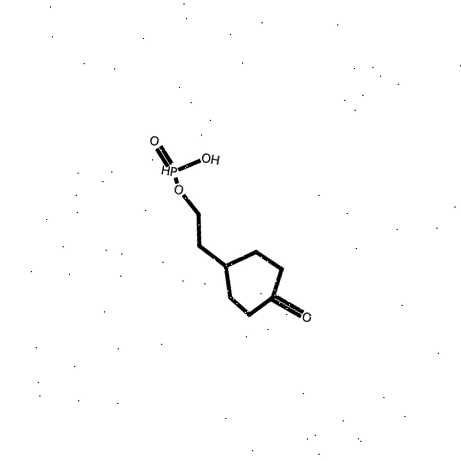 O=C1CCC(CCO[PH](=O)O)CC1